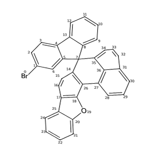 Brc1ccc2c(c1)C1(c3ccccc3-2)c2ccc3c(oc4ccccc43)c2-c2cccc3cccc1c23